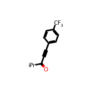 CC(C)C(=O)C#Cc1ccc(C(F)(F)F)cc1